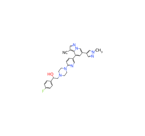 Cn1cc(-c2cc(-c3ccc(N4CCN(CC(O)c5ccc(F)cc5)CC4)nc3)c3c(C#N)cnn3c2)cn1